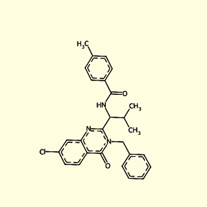 Cc1ccc(C(=O)NC(c2nc3cc(Cl)ccc3c(=O)n2Cc2ccccc2)C(C)C)cc1